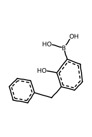 OB(O)c1cccc(Cc2ccccc2)c1O